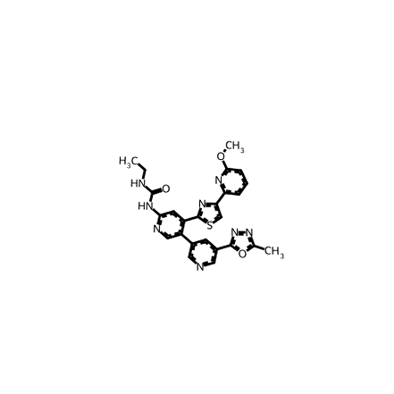 CCNC(=O)Nc1cc(-c2nc(-c3cccc(OC)n3)cs2)c(-c2cncc(-c3nnc(C)o3)c2)cn1